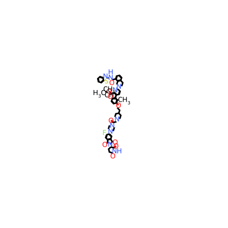 Cc1c(OCCC2CCN(CC(=O)N3CCN(c4cc5c(cc4F)C(=O)N(C4CCC(=O)NC4=O)C5=O)CC3)CC2)cccc1-c1ccc(N2CCc3cccc(C(=O)Nc4nc5ccccc5s4)c3C2)nc1C(=O)OC(C)(C)C